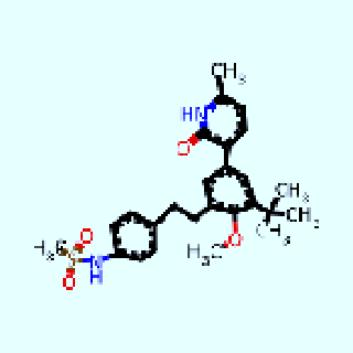 COc1c(CCc2ccc(NS(C)(=O)=O)cc2)cc(-c2ccc(C)[nH]c2=O)cc1C(C)(C)C